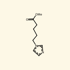 COC(=O)CCCCn1c[c]nc1